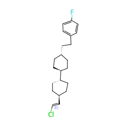 Fc1ccc(CC[C@H]2CC[C@H]([C@H]3CC[C@H](/C=C/Cl)CC3)CC2)cc1